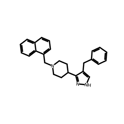 c1ccc(Cc2c[nH]nc2C2CCN(Cc3cccc4ccccc34)CC2)cc1